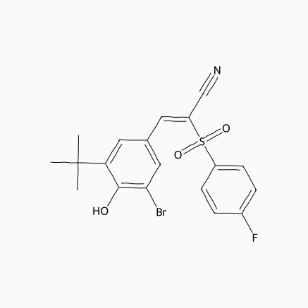 CC(C)(C)c1cc(/C=C(/C#N)S(=O)(=O)c2ccc(F)cc2)cc(Br)c1O